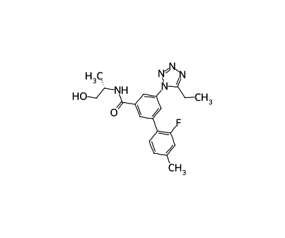 CCc1nnnn1-c1cc(C(=O)N[C@@H](C)CO)cc(-c2ccc(C)cc2F)c1